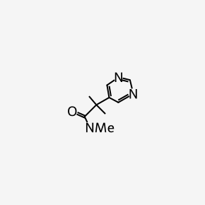 CNC(=O)C(C)(C)c1cncnc1